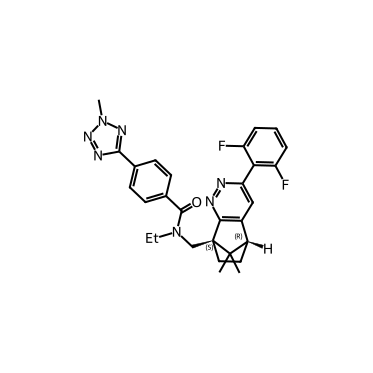 CCN(C[C@@]12CC[C@@H](c3cc(-c4c(F)cccc4F)nnc31)C2(C)C)C(=O)c1ccc(-c2nnn(C)n2)cc1